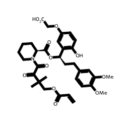 C=CC(=O)OCC(C)(C)C(=O)C(=O)N1CCCC[C@H]1C(=O)O[C@H](CCc1ccc(OC)c(OC)c1)c1cc(OCC(=O)O)ccc1O